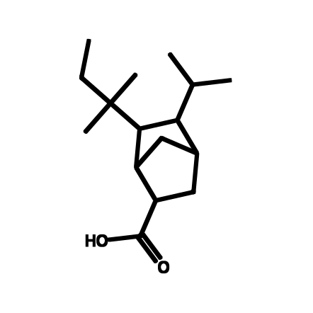 CCC(C)(C)C1C2CC(CC2C(=O)O)C1C(C)C